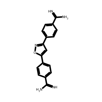 N=C(N)c1ccc(-c2cc(-c3ccc(C(=N)N)cc3)on2)cc1